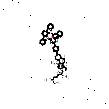 CC(C)CCC[C@@H](C)[C@H]1CC[C@H]2[C@@H]3CC[C@H]4CC(c5ccc(-c6nc(-c7ccccc7)nc(-n7c8ccccc8c8ccc9c%10ccccc%10n(-c%10ccccc%10)c9c87)n6)cc5)CC[C@]4(C)[C@H]3CC[C@]12C